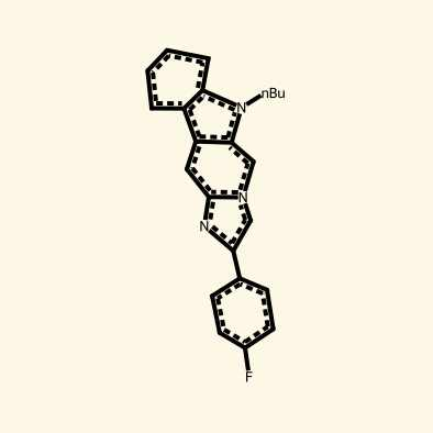 CCCCn1c2ccccc2c2cc3nc(-c4ccc(F)cc4)cn3cc21